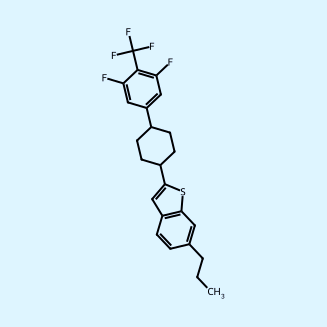 CCCc1ccc2cc(C3CCC(c4cc(F)c(C(F)(F)F)c(F)c4)CC3)sc2c1